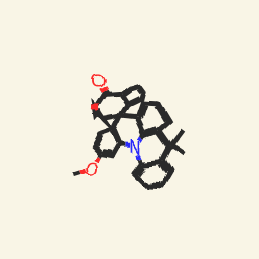 COc1ccc2c(c1)N1c3ccccc3C(C)(C)c3cccc(c31)C21c2ccccc2C(=O)c2ccccc21